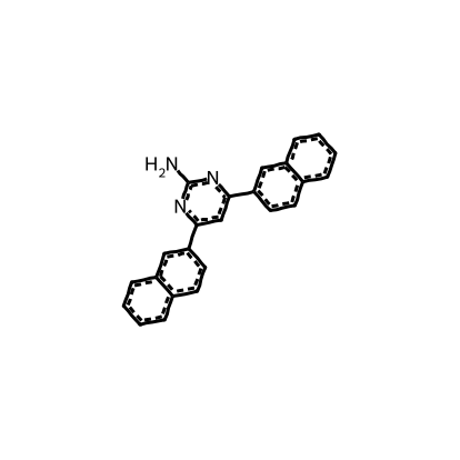 Nc1nc(-c2ccc3ccccc3c2)cc(-c2ccc3ccccc3c2)n1